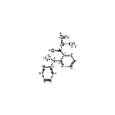 CON(C)C(=O)c1ccccc1N(C)c1ccccc1